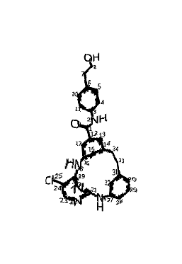 O=C(Nc1ccc(CCO)cc1)c1cc2cc(c1)Nc1nc(ncc1Cl)Nc1cccc(c1)CC2